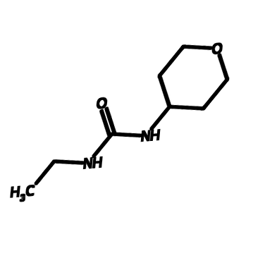 CCNC(=O)NC1CCOCC1